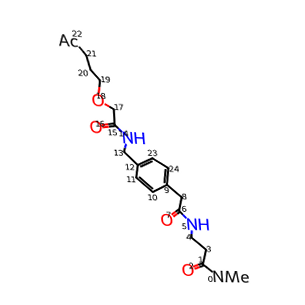 CNC(=O)CCNC(=O)Cc1ccc(CNC(=O)COCCCC(C)=O)cc1